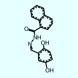 O=C(N/N=C\c1cc(O)ccc1O)c1cccc2ccccc12